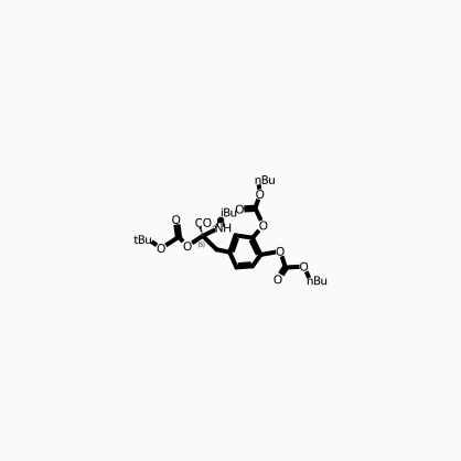 CCCCOC(=O)Oc1ccc(C[C@](NC(C)CC)(OC(=O)OC(C)(C)C)C(=O)O)cc1OC(=O)OCCCC